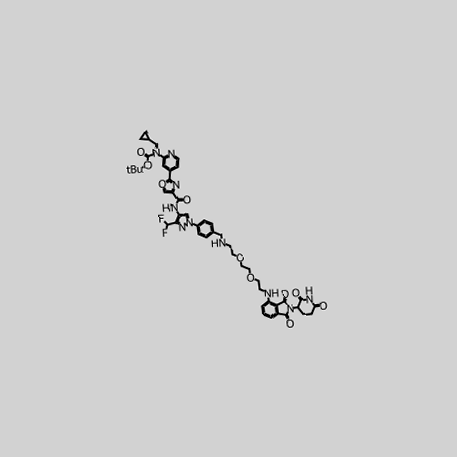 CC(C)(C)OC(=O)N(CC1CC1)c1cc(-c2nc(C(=O)Nc3cn(-c4ccc(CNCCOCCOCCNc5cccc6c5C(=O)N(C5CCC(=O)NC5=O)C6=O)cc4)nc3C(F)F)co2)ccn1